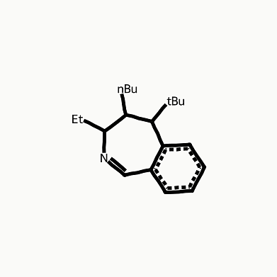 CCCCC1C(CC)N=Cc2ccccc2C1C(C)(C)C